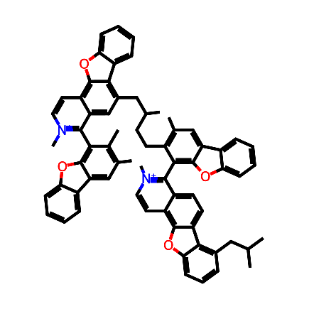 Cc1cc2c(oc3ccccc32)c(-c2c3cc(CC(C)CCc4c(C)cc5c(oc6ccccc65)c4-c4c5ccc6c(oc7cccc(CC(C)C)c76)c5cc[n+]4C)c4c5ccccc5oc4c3cc[n+]2C)c1C